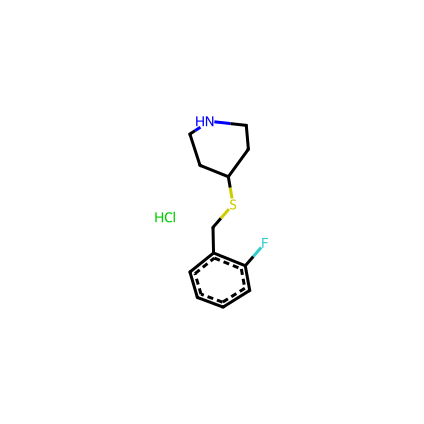 Cl.Fc1ccccc1CSC1CCNCC1